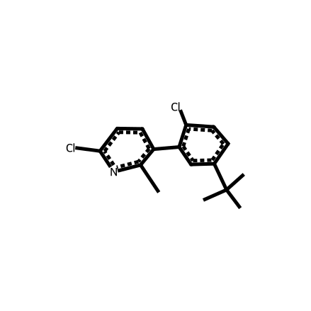 Cc1nc(Cl)ccc1-c1cc(C(C)(C)C)ccc1Cl